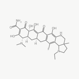 CCN1CCC2(C)CNc3c(O)c4c(c(F)c3C12)C[C@H]1C[C@H]2[C@H](N(C)C)C(O)=C(C(N)=O)C(=O)[C@@]2(O)C(O)=C1C4=O